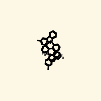 Cc1ccc2c(c1)c1ccccc1n2-c1cccc(C#N)c1-c1c(-c2c(C(F)(F)F)cccc2C(F)(F)F)cccc1-n1c2ccccc2c2cc(C)ccc21